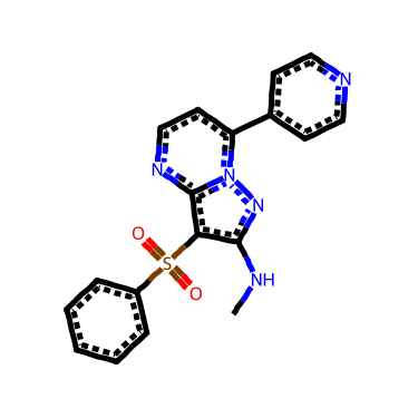 CNc1nn2c(-c3ccncc3)ccnc2c1S(=O)(=O)c1ccccc1